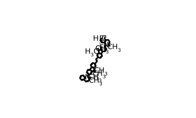 CC/C=C\C1=C(C)CCC(C)N1C/C=C\C1=C(CC)C(C)(C)c2cc(/C=C/c3ccc4c(c3)C(C)(C)c3cc(N5c6ccccc6C=CC5(C)C)ccc3-4)ccc21